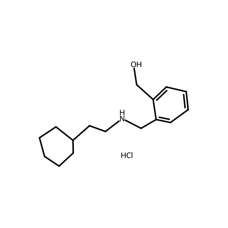 Cl.OCc1ccccc1CNCCC1CCCCC1